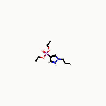 CCCn1cc(P(=O)(OCC)OCC)cn1